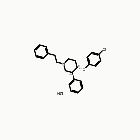 Cl.Clc1ccc(O[C@H]2CCN(CCc3ccccc3)C[C@@H]2c2ccccc2)cc1